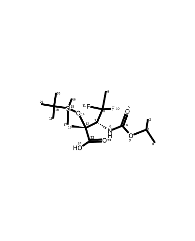 CC(C)OC(=O)N[C@@H](C(C)(F)F)[C@@](C)(O[Si](C)(C)C(C)(C)C)C(=O)O